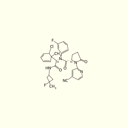 CC1(F)CC(NC(=O)[C@@H](N(C(=O)[C@@H]2CCC(=O)N2c2cc(C#N)ccn2)c2cccc(F)c2)C2(C)C=CC=CC2Cl)C1